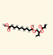 C=CC(=O)OC(CC)COC(=O)CCCCCCCCC(=O)OC